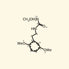 COc1ccc(OC)c(CCNC(=O)N(C)O)c1